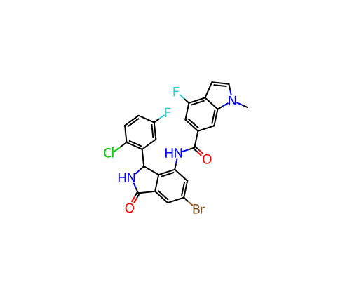 Cn1ccc2c(F)cc(C(=O)Nc3cc(Br)cc4c3C(c3cc(F)ccc3Cl)NC4=O)cc21